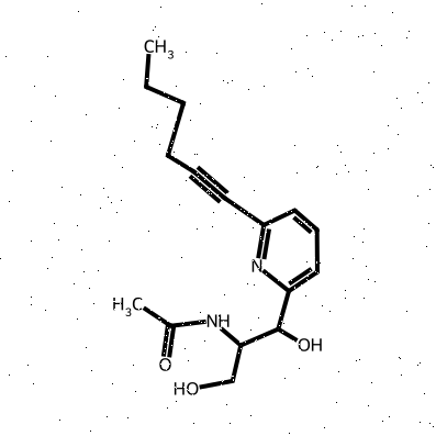 CCCCC#Cc1cccc(C(O)C(CO)NC(C)=O)n1